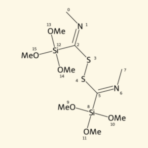 CN=C(SSC(=NC)[Si](OC)(OC)OC)[Si](OC)(OC)OC